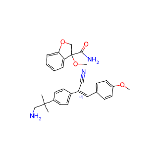 COC1(C(N)=O)COc2ccccc21.COc1ccc(/C=C(\C#N)c2ccc(C(C)(C)CN)cc2)cc1